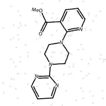 COC(=O)c1cccnc1N1CCN(c2ncccn2)CC1